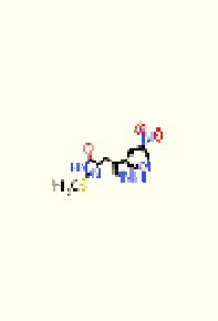 CSC1=N/C(=C\c2c[nH]c3ncc([N+](=O)[O-])cc23)C(=O)N1